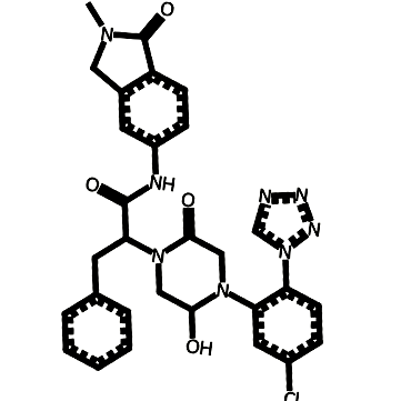 CN1Cc2cc(NC(=O)C(Cc3ccccc3)N3CC(O)N(c4cc(Cl)ccc4-n4cnnn4)CC3=O)ccc2C1=O